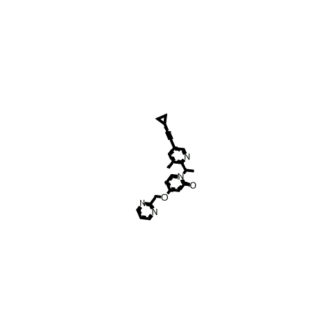 Cc1cc(C#CC2CC2)cnc1C(C)n1ccc(OCc2ncccn2)cc1=O